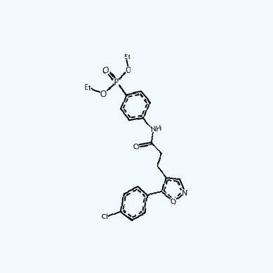 CCOP(=O)(OCC)c1ccc(NC(=O)CCc2cnoc2-c2ccc(Cl)cc2)cc1